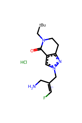 CC(C)(C)CN1CCc2nn(C/C(=C/F)CN)cc2C1=O.Cl